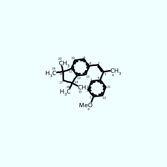 COc1ccc(C(C)=Cc2ccc3c(c2)C(C)(C)CC3(C)C)cc1